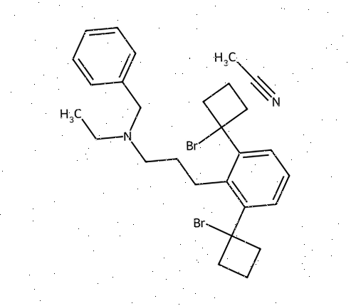 CC#N.CCN(CCCc1c(C2(Br)CCC2)cccc1C1(Br)CCC1)Cc1ccccc1